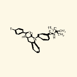 CC(C)(C)NSc1ccc(N2C(=O)C(NC(=O)c3ccc(F)cc3)Cc3ccccc32)cc1